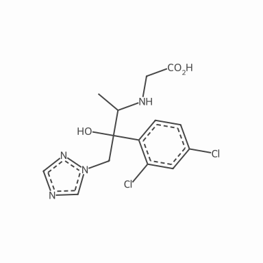 CC(NCC(=O)O)C(O)(Cn1cncn1)c1ccc(Cl)cc1Cl